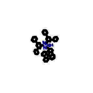 c1ccc(-c2cc(C3=NC(c4ccc5c(c4)C4(c6ccccc6-c6ccccc64)c4ccccc4-5)NC(c4cc(-c5ccccc5)cc(-c5ccccc5)c4)=N3)cc(-c3ccccc3)c2)cc1